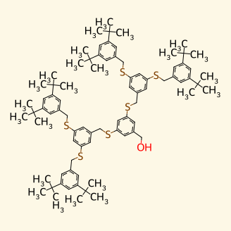 CC(C)(C)c1cc(CSc2cc(CSc3cc(CO)cc(SCc4cc(SCc5cc(C(C)(C)C)cc(C(C)(C)C)c5)cc(SCc5cc(C(C)(C)C)cc(C(C)(C)C)c5)c4)c3)cc(SCc3cc(C(C)(C)C)cc(C(C)(C)C)c3)c2)cc(C(C)(C)C)c1